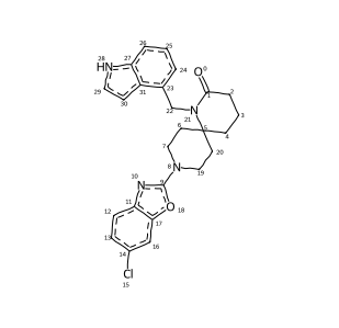 O=C1CCCC2(CCN(c3nc4ccc(Cl)cc4o3)CC2)N1Cc1cccc2[nH]ccc12